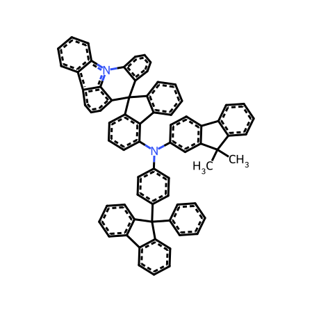 CC1(C)c2ccccc2-c2ccc(N(c3ccc(C4(c5ccccc5)c5ccccc5-c5ccccc54)cc3)c3cccc4c3-c3ccccc3C43c4ccccc4-n4c5ccccc5c5cccc3c54)cc21